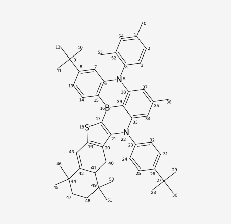 Cc1ccc(N2c3cc(C(C)(C)C)ccc3B3c4sc5c(c4N(c4ccc(C(C)(C)C)cc4)c4cc(C)cc2c43)CC2C(=C5)C(C)(C)CCC2(C)C)c(C)c1